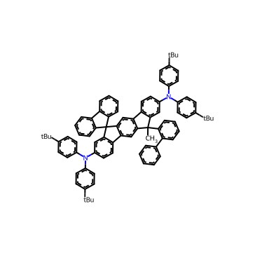 CC(C)(C)c1ccc(N(c2ccc(C(C)(C)C)cc2)c2ccc3c(c2)C(C)(c2ccccc2-c2ccccc2)c2cc4c(cc2-3)C2(c3ccccc3-c3ccccc32)c2cc(N(c3ccc(C(C)(C)C)cc3)c3ccc(C(C)(C)C)cc3)ccc2-4)cc1